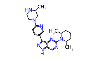 CC1CN(c2ccc(-c3n[nH]c4cnc(N5C(C)CCCC5C)nc34)cn2)CCN1